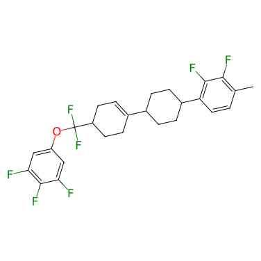 Cc1ccc(C2CCC(C3=CCC(C(F)(F)Oc4cc(F)c(F)c(F)c4)CC3)CC2)c(F)c1F